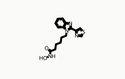 O=C(CCCCCn1c(-c2cscn2)nc2ccccc21)NO